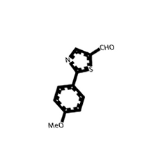 COc1ccc(-c2ncc(C=O)s2)cc1